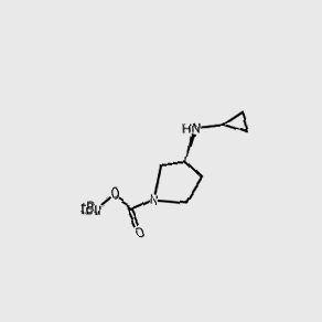 CC(C)(C)OC(=O)N1CC[C@H](NC2CC2)C1